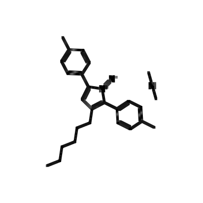 CCCCCCC1=C(c2ccc(C)cc2)[N+](=[N-])C(c2ccc(C)cc2)=C1.[CH3][Ni][CH3]